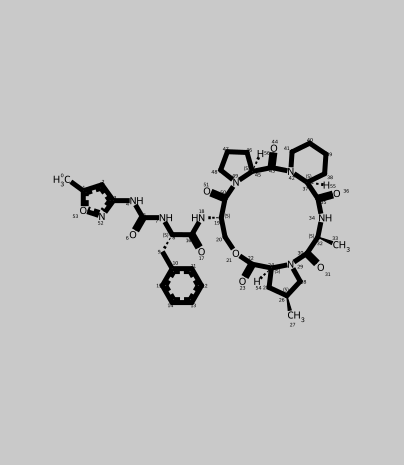 Cc1cc(NC(=O)N[C@@H](Cc2ccccc2)C(=O)N[C@H]2COC(=O)[C@@H]3C[C@H](C)CN3C(=O)[C@H](C)NC(=O)[C@@H]3CCCCN3C(=O)[C@@H]3CCCN3C2=O)no1